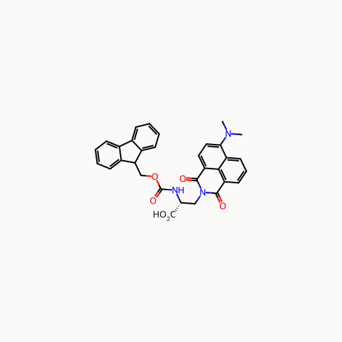 CN(C)c1ccc2c3c(cccc13)C(=O)N(C[C@@H](NC(=O)OCC1c3ccccc3-c3ccccc31)C(=O)O)C2=O